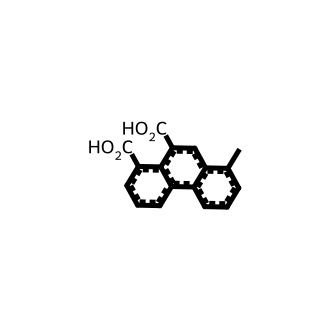 Cc1cccc2c1cc(C(=O)O)c1c(C(=O)O)cccc12